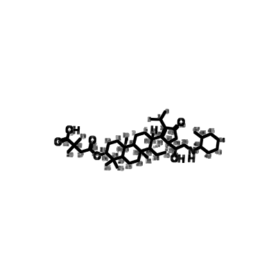 CC(C)C1=C2[C@H]3CCC4[C@@]5(C)CC[C@H](OC(=O)CC(C)(C)C(=O)O)C(C)(C)C5CC[C@@]4(C)[C@]3(C)CC[C@@]2([C@H](O)CNC2CCCCC2C)CC1=O